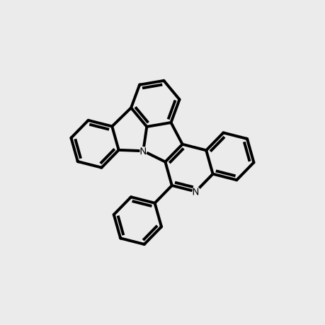 c1ccc(-c2nc3ccccc3c3c4cccc5c6ccccc6n(c23)c54)cc1